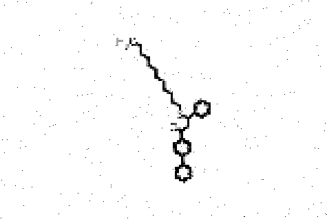 CCCCCCCCCCCCSC(CC(=O)c1ccc(-c2ccccc2)cc1)c1ccccc1